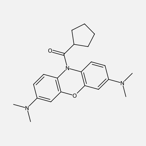 CN(C)c1ccc2c(c1)Oc1cc(N(C)C)ccc1N2C(=O)C1CCCC1